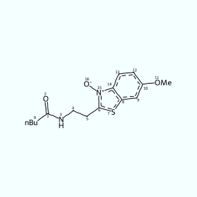 CCCCC(=O)NCCc1sc2cc(OC)ccc2[n+]1[O-]